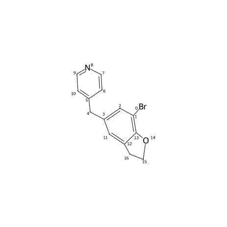 Brc1cc(Cc2ccncc2)cc2c1OCC2